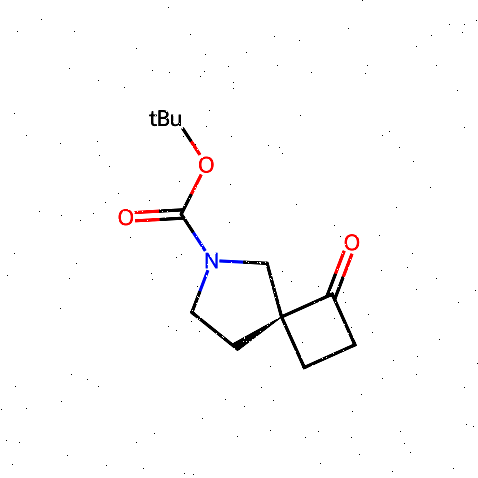 CC(C)(C)OC(=O)N1CC[C@@]2(CCC2=O)C1